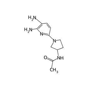 CC(=O)NC1CCN(c2ccc(N)c(N)n2)C1